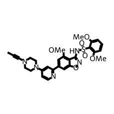 CC#CN1CCN(c2ccnc(-c3cc(OC)c4c(NS(=O)(=O)c5c(OC)cccc5OC)noc4c3)c2)CC1